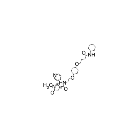 CN1C(=O)C[C@H](C(=O)NCCOC2CCC(OCCCC(=O)NC3CCCCC3)CC2)[C@H]1c1cccnc1